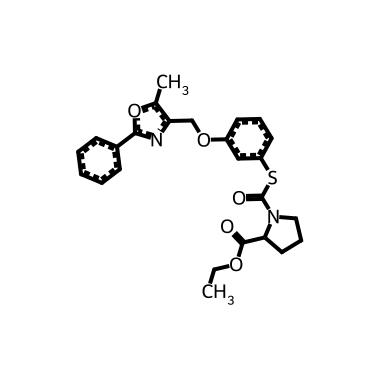 CCOC(=O)C1CCCN1C(=O)Sc1cccc(OCc2nc(-c3ccccc3)oc2C)c1